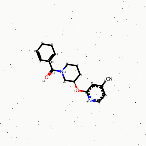 N#Cc1ccnc(O[C@@H]2CCCN(C(=O)C3=CCCC=C3)C2)c1